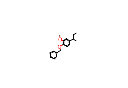 CCC(C)c1ccc(OCc2ccccc2)c(OC)c1